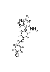 NCC(c1scnc1C(F)F)N1CCC(OCc2ccc(Cl)cc2)CC1